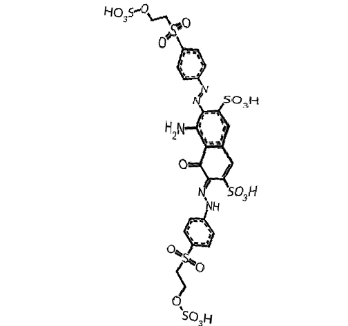 Nc1c(/N=N/c2ccc(S(=O)(=O)CCOS(=O)(=O)O)cc2)c(S(=O)(=O)O)cc2c1C(=O)/C(=N/Nc1ccc(S(=O)(=O)CCOS(=O)(=O)O)cc1)C(S(=O)(=O)O)=C2